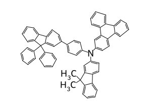 CC1(C)c2ccccc2-c2ccc(N(c3ccc(-c4ccc5c(c4)C(c4ccccc4)(c4ccccc4)c4ccccc4-5)cc3)c3ccc4c5ccccc5c5ccccc5c4c3)cc21